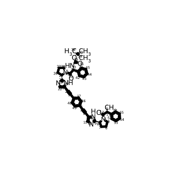 C[C@@H](C(=O)N1CCC[C@H]1c1ncc(C#Cc2ccc(C#Cc3cnc([C@@H]4CCCN4C(=O)[C@H](NC(=O)OC(C)(C)C)c4ccccc4)[nH]3)cc2)[nH]1)c1ccccc1